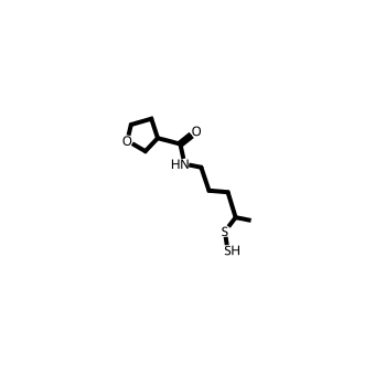 CC(CCCNC(=O)C1CCOC1)SS